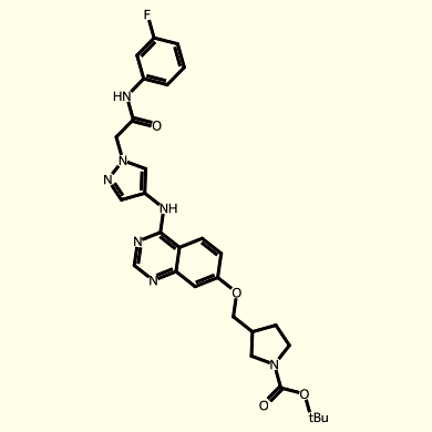 CC(C)(C)OC(=O)N1CCC(COc2ccc3c(Nc4cnn(CC(=O)Nc5cccc(F)c5)c4)ncnc3c2)C1